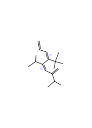 C=C/C=C(\C(=C/C(=C)C(C)C)C(C)C)C(C)(C)C